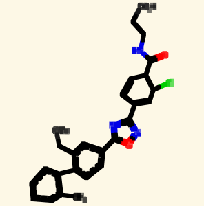 COCc1cc(-c2nc(C3=CC(Cl)C(C(=O)NCCC(=O)O)C=C3)no2)ccc1-c1ccccc1C